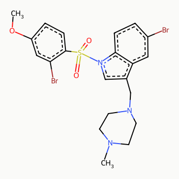 COc1ccc(S(=O)(=O)n2cc(CN3CCN(C)CC3)c3cc(Br)ccc32)c(Br)c1